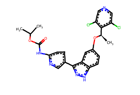 CC(C)OC(=O)Nc1ccc(-c2n[nH]c3ccc(O[C@H](C)c4c(Cl)cncc4Cl)cc23)cn1